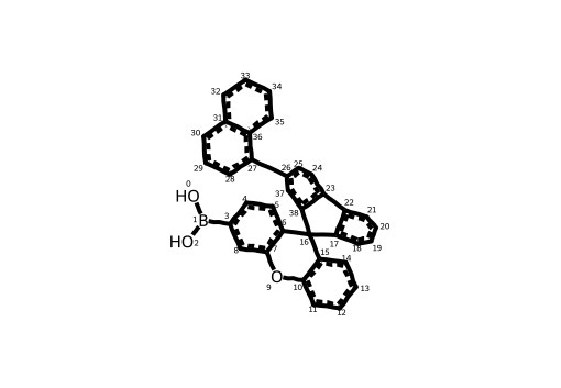 OB(O)c1ccc2c(c1)Oc1ccccc1C21c2ccccc2-c2ccc(-c3cccc4ccccc34)cc21